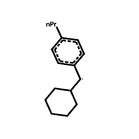 CCCc1ccc([CH]C2CCCCC2)cc1